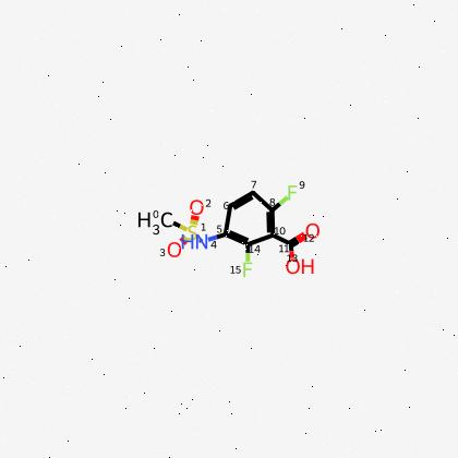 CS(=O)(=O)Nc1ccc(F)c(C(=O)O)c1F